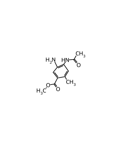 COC(=O)c1cc(N)c(NC(C)=O)cc1C